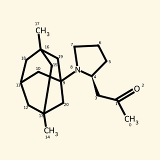 CC(=O)C[C@@H]1CCCN1C12CC3CC(C)(CC(C)(C3)C1)C2